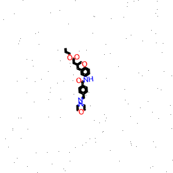 CCCOC(=O)CC1COc2ccc(NC(=O)c3ccc(C=NN4CCOCC4)cc3)cc2C1